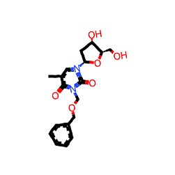 Cc1cn([C@H]2C[C@H](O)[C@@H](CO)O2)c(=O)n(COCc2ccccc2)c1=O